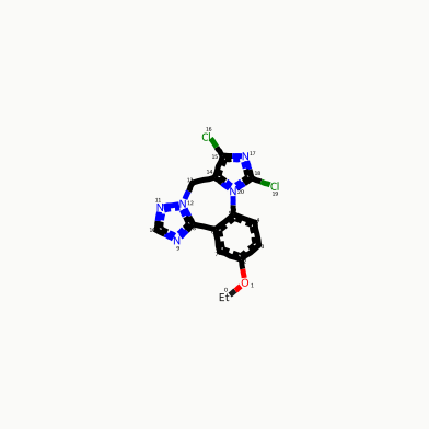 CCOc1ccc2c(c1)-c1ncnn1Cc1c(Cl)nc(Cl)n1-2